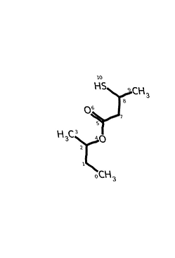 CCC(C)OC(=O)CC(C)S